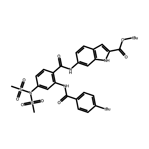 CC(C)(C)OC(=O)c1cc2ccc(NC(=O)c3ccc(N(S(C)(=O)=O)S(C)(=O)=O)cc3NC(=O)c3ccc(C(C)(C)C)cc3)cc2[nH]1